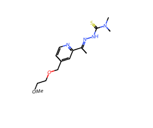 COCCOCc1ccnc(/C(C)=N/NC(=S)N(C)C)c1